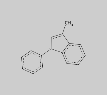 CC1=C[C](c2ccccc2)c2ccccc21